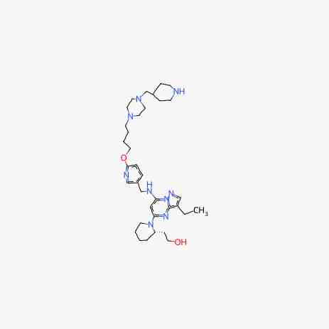 CCc1cnn2c(NCc3ccc(OCCCCN4CCN(CC5CCNCC5)CC4)nc3)cc(N3CCCC[C@H]3CCO)nc12